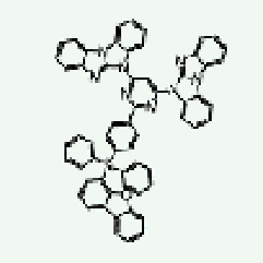 c1ccc([Si](c2ccccc2)(c2ccc(-c3nc(-n4c5ccccc5n5c6ccccc6nc45)cc(-n4c5ccccc5n5c6ccccc6nc45)n3)cc2)c2cccc3c2oc2ccccc23)cc1